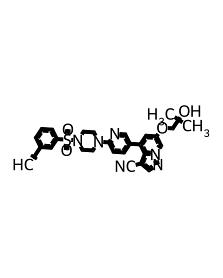 C#Cc1cccc(S(=O)(=O)N2CCN(c3ccc(-c4cc(OCC(C)(C)O)cn5ncc(C#N)c45)cn3)CC2)c1